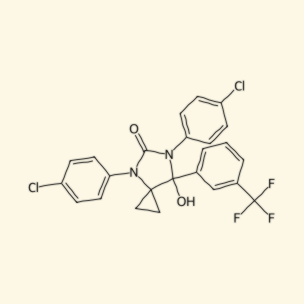 O=C1N(c2ccc(Cl)cc2)C2(CC2)C(O)(c2cccc(C(F)(F)F)c2)N1c1ccc(Cl)cc1